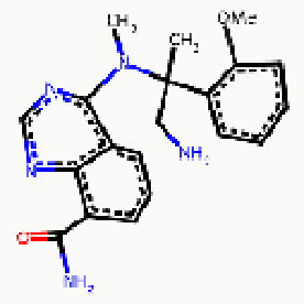 COc1ccccc1C(C)(CN)N(C)c1ncnc2c(C(N)=O)cccc12